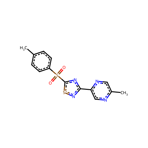 Cc1ccc(S(=O)(=O)c2nc(-c3cnc(C)cn3)ns2)cc1